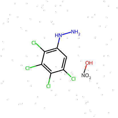 NNc1cc(Cl)c(Cl)c(Cl)c1Cl.O=[N+]([O-])O